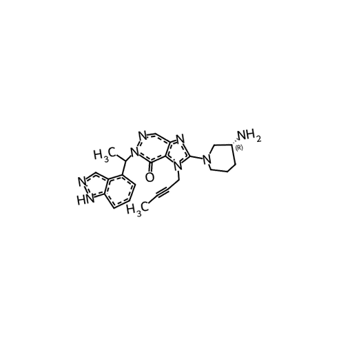 CC#CCn1c(N2CCC[C@@H](N)C2)nc2cnn(C(C)c3cccc4[nH]ncc34)c(=O)c21